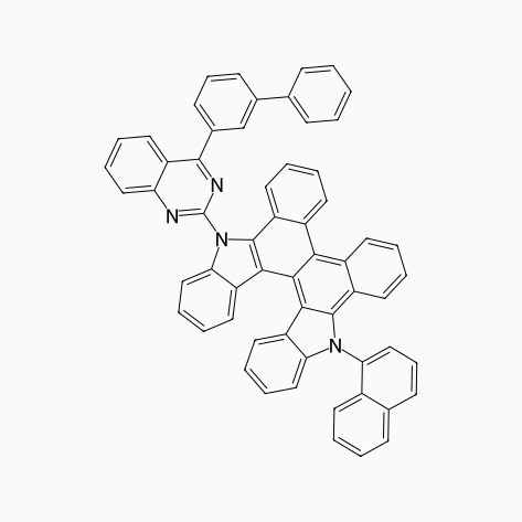 c1ccc(-c2cccc(-c3nc(-n4c5ccccc5c5c6c(c7ccccc7c54)c4ccccc4c4c6c5ccccc5n4-c4cccc5ccccc45)nc4ccccc34)c2)cc1